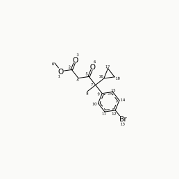 COC(=O)CC(=O)C(C)(c1ccc(Br)cc1)C1CC1